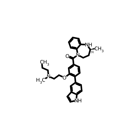 CCCN(C)CCOc1cc(C(=O)N2CC[C@H](C)Nc3ccccc32)ccc1-c1ccc2[nH]ccc2c1